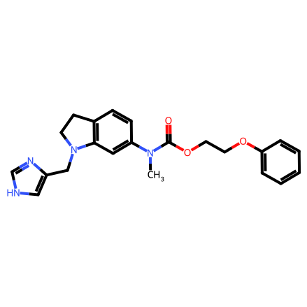 CN(C(=O)OCCOc1ccccc1)c1ccc2c(c1)N(Cc1c[nH]cn1)CC2